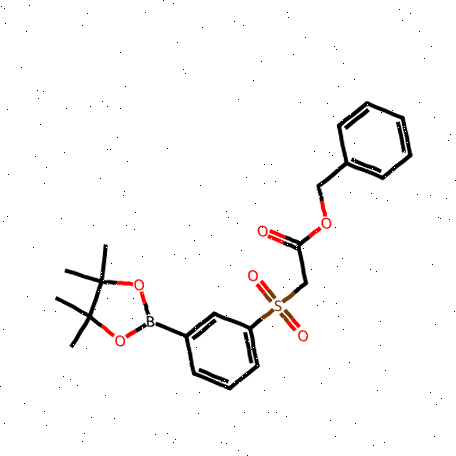 CC1(C)OB(c2cccc(S(=O)(=O)CC(=O)OCc3ccccc3)c2)OC1(C)C